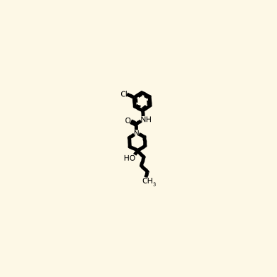 CCCCC1(O)CCN(C(=O)Nc2cccc(Cl)c2)CC1